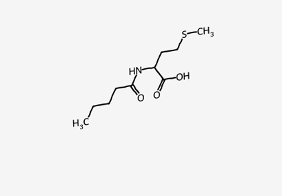 CCCCC(=O)NC(CCSC)C(=O)O